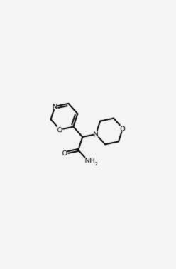 NC(=O)C(C1=CC=NCO1)N1CCOCC1